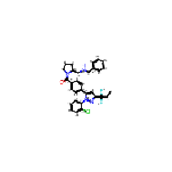 CCC(F)(F)c1cc(-c2ccc(C(=O)N3CCCC3CNCc3ccccc3)cc2)n(-c2ccccc2Cl)n1